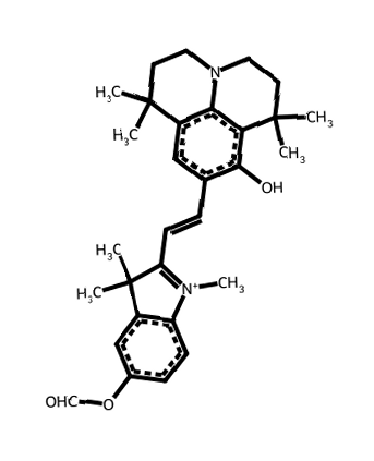 C[N+]1=C(/C=C/c2cc3c4c(c2O)C(C)(C)CCN4CCC3(C)C)C(C)(C)c2cc(OC=O)ccc21